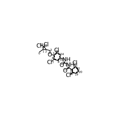 CC1C(COc2c(Cl)cc(NC(=O)NC(=O)c3c(Cl)cccc3Cl)cc2Cl)C1(Cl)Cl